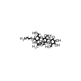 COC1C(O)[C@@H](O)C(CO)O[C@@H]1OC1C(O)[C@H](O[C@@H]2C(CO)O[C@@H](OCCCN)C(NC(C)=O)C2O)OC(CO)[C@@H]1O